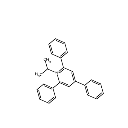 CC(C)[n+]1c(-c2ccccc2)cc(-c2ccccc2)cc1-c1ccccc1